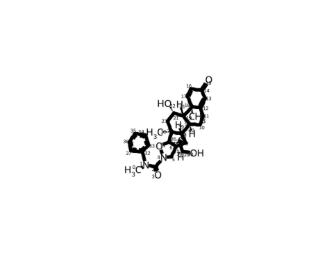 CN(C(=O)N1C[C@@H]2C[C@H]3[C@@H]4CCC5=CC(=O)C=C[C@]5(C)[C@H]4[C@@H](O)C[C@]3(C)[C@]2(C(=O)CO)O1)c1ccccc1